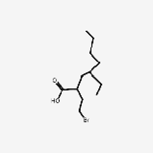 CCCCC(CC)CC(CCBr)C(=O)O